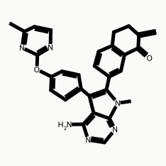 C=C1CCc2ccc(-c3c(-c4ccc(Oc5nccc(C)n5)cc4)c4c(N)ncnc4n3C)cc2C1=O